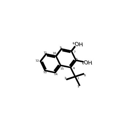 CC(C)(C)c1c(O)c(O)cc2ccccc12